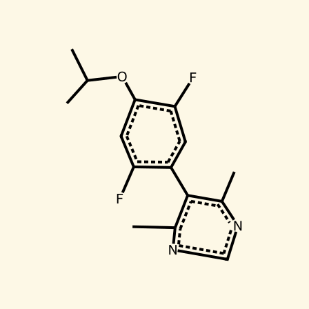 Cc1ncnc(C)c1-c1cc(F)c(OC(C)C)cc1F